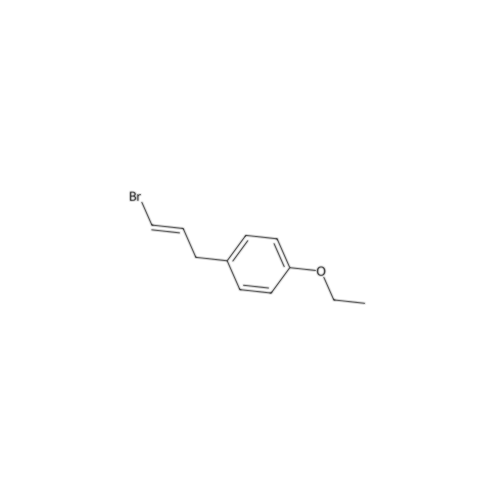 CCOc1ccc(CC=CBr)cc1